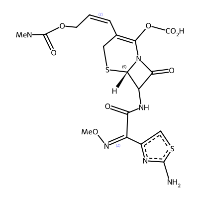 CNC(=O)OC/C=C\C1=C(OC(=O)O)N2C(=O)C(NC(=O)/C(=N\OC)c3csc(N)n3)[C@@H]2SC1